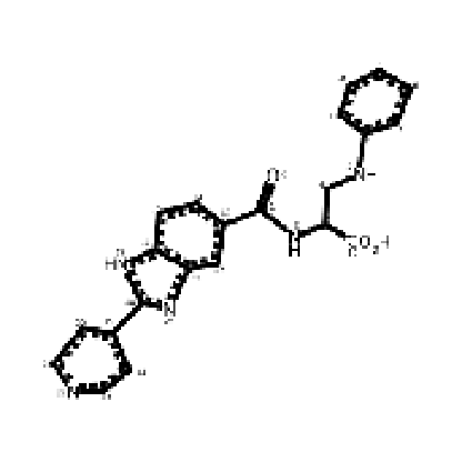 O=C(NC(CNc1ccccc1)C(=O)O)c1ccc2[nH]c(-c3ccncc3)nc2c1